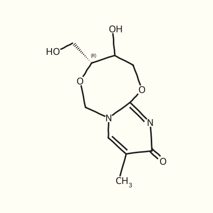 Cc1cn2c(nc1=O)OCC(O)[C@@H](CO)OC2